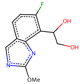 COc1ncc2ccc(F)c(C(O)CO)c2n1